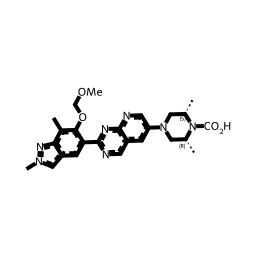 COCOc1c(-c2ncc3cc(N4C[C@@H](C)N(C(=O)O)[C@@H](C)C4)cnc3n2)cc2cn(C)nc2c1C